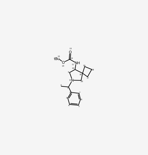 CC(c1ccccc1)N1CC(NC(=O)OC(C)(C)C)C2(CCC2)C1